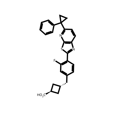 O=C(O)[C@H]1C[C@H](Cc2ccc(-c3nc4ccc(C5(c6ccccc6)CC5)nc4s3)c(F)c2)C1